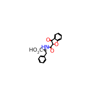 O=C(N[C@@H](Cc1ccccc1)C(=O)O)C1Oc2ccccc2C1=O